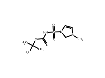 CN1C=CN(S(=O)(=O)NC(=O)OC(C)(C)C)C1